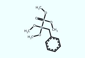 CO[Si](Cc1ccccc1)(OC)P(=O)(OC)OC